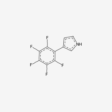 Fc1c(F)c(F)c(-c2cc[nH]c2)c(F)c1F